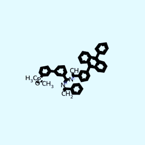 C=C(/N=C(\N=C(/C)c1cccc(-c2c3ccccc3c(-c3ccccc3)c3ccccc23)c1)c1cccc(-c2cccc(P(C)(C)=O)c2)c1)c1ccccc1